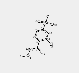 CONC(=O)c1ccc(S(C)(=O)=O)cc1Cl